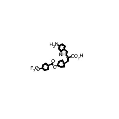 Nc1ccc(CC/C(=C\c2ccc(OC(=O)c3ccc(OC(F)(F)F)cc3)cc2)C(=O)O)c(N)c1